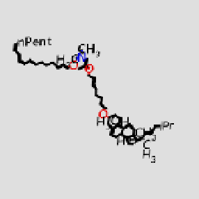 CCCCC/C=C\C/C=C\CCCCCCCCOCC(CN(C)C)OCCCCCCCCOC1CC[C@@]2(C)C(=CC[C@H]3[C@@H]4CC[C@H]([C@H](C)CCCC(C)C)[C@@]4(C)CC[C@@H]32)C1